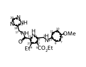 CCOC(=O)c1c(CNc2ccc(OC)cc2)[nH]c(C(=O)NCc2ncn[nH]2)c1CC